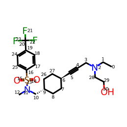 CCN(CC#C[C@H]1CC[C@H](CN(C)S(=O)(=O)c2ccc(C(F)(F)F)cc2)CC1)CCO